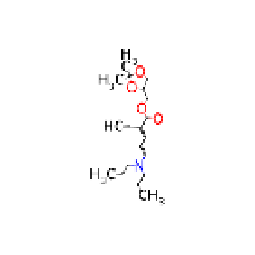 C#C/C(=C\C=C\N(CCC)CCC)C(=O)OCC1COC(C)(C)O1